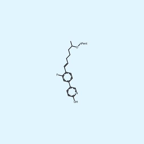 CCCCCOC(C)CCCC=Cc1ccc(-c2ccc(O)nc2)cc1F